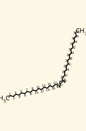 CCCCCCCCCCCCCCCCCCN=C=NCCCCCCCCCCCCCCCCCC